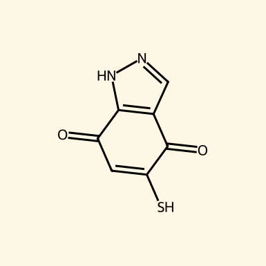 O=C1C(S)=CC(=O)c2[nH]ncc21